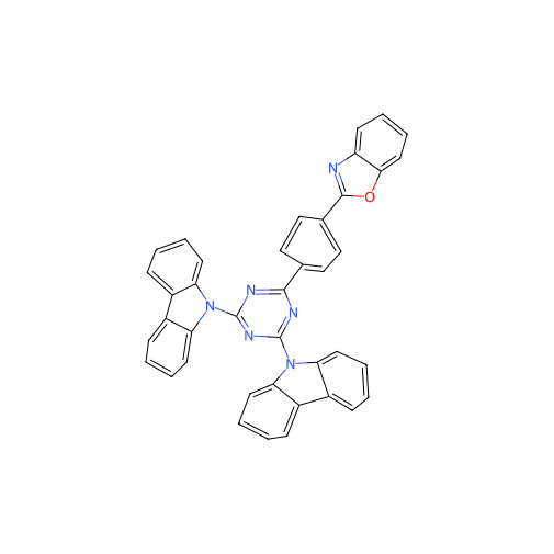 c1ccc2oc(-c3ccc(-c4nc(-n5c6ccccc6c6ccccc65)nc(-n5c6ccccc6c6ccccc65)n4)cc3)nc2c1